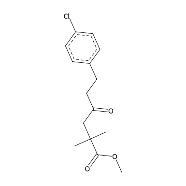 COC(=O)C(C)(C)CC(=O)CCc1ccc(Cl)cc1